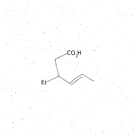 CC=CC(CC)CC(=O)O